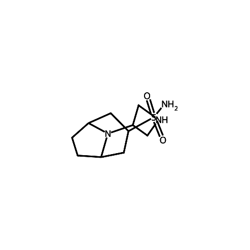 NS(=O)(=O)C1CC2CCC(C1)N2C1CNC1